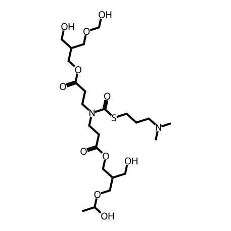 CC(O)OCC(CO)COC(=O)CCN(CCC(=O)OCC(CO)COCO)C(=O)SCCCN(C)C